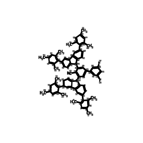 Cc1cc(C)c(-c2ccc3c(c2)c2cc(-c4c(C)cc(C)cc4C)ccc2n3-c2cc(-c3cc(F)cc(F)c3)cc(-n3c4ccc(-c5c(C)cc(C)cc5C)cc4c4cc(-c5c(C)cc(C)cc5C)ccc43)c2C#N)c(C)c1